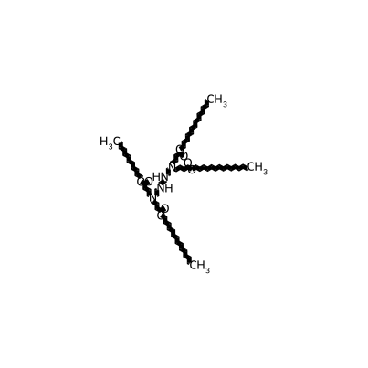 CCCCCCCCCCCCCCCOC(=O)CCCN(CCCC(=O)OCCCCCCCCCCCC)CCNCCNCCN(CCCC(=O)OCCCCCCCCCCCCCCC)CCCC(=O)OCCCCCCCCCCCCCCC